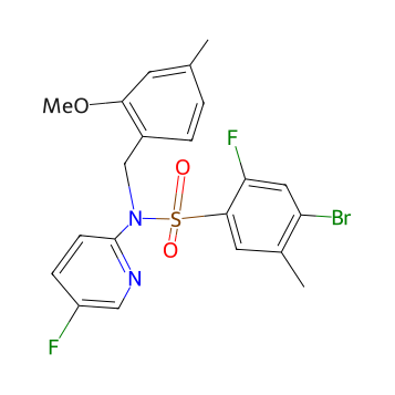 COc1cc(C)ccc1CN(c1ccc(F)cn1)S(=O)(=O)c1cc(C)c(Br)cc1F